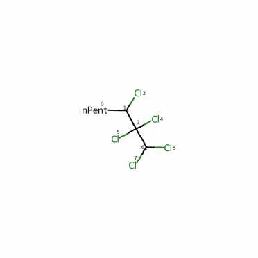 CCCCCC(Cl)C(Cl)(Cl)[C](Cl)Cl